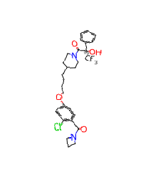 O=C(c1ccc(OCCCCC2CCN(C(=O)[C@](O)(c3ccccc3)C(F)(F)F)CC2)cc1Cl)N1CCC1